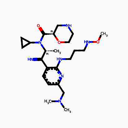 CONCCCNc1nc(CN(C)C)ccc1C(=N)[C@@H](C)N(C(=O)[C@H]1CNCCO1)C1CC1